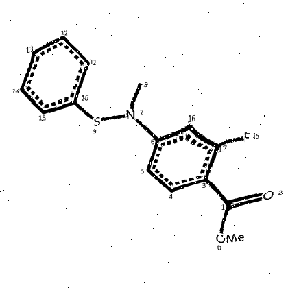 COC(=O)c1ccc(N(C)Sc2ccccc2)cc1F